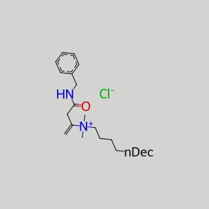 C=C(CC(=O)NCc1ccccc1)[N+](C)(C)CCCCCCCCCCCCCC.[Cl-]